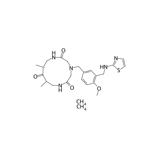 C.C.COc1ccc(CN2CC(=O)NC[C](C)C(=O)C(C)CNC(=O)C2)cc1CNc1nccs1